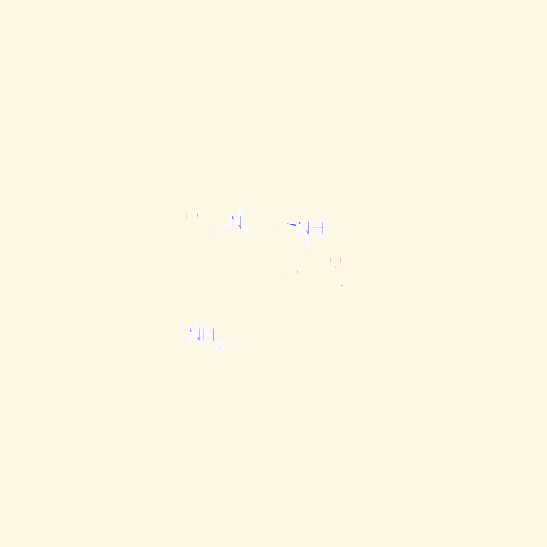 CC(C)(C)OC(=O)N[C@@H]1CCN(C(=O)c2ccc(N)cc2)C1